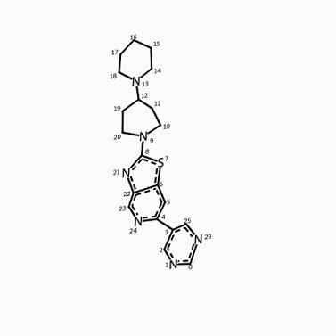 c1ncc(-c2cc3sc(N4CCC(N5CCCCC5)CC4)nc3cn2)cn1